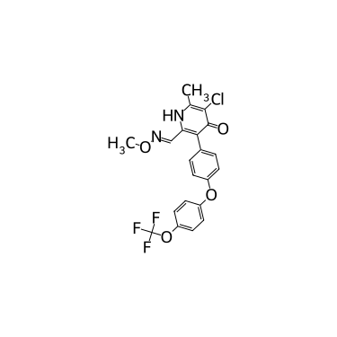 CO/N=C/c1[nH]c(C)c(Cl)c(=O)c1-c1ccc(Oc2ccc(OC(F)(F)F)cc2)cc1